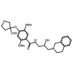 CNc1cc(C(=O)NCC(O)CN2CCc3ccccc3C2)c(OC)cc1OC1(C=O)CCOC1